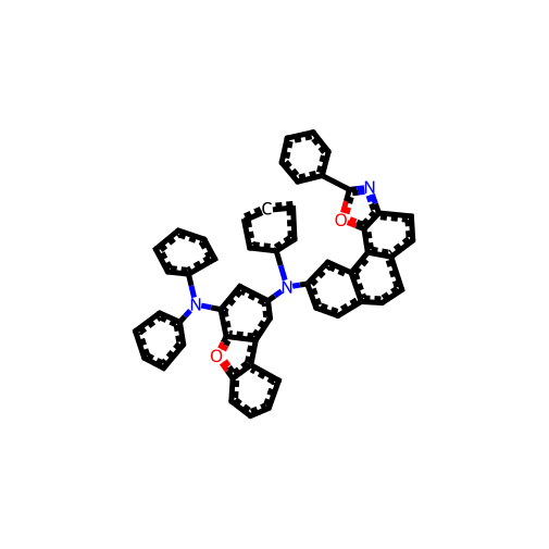 c1ccc(-c2nc3ccc4ccc5ccc(N(c6ccccc6)c6cc(N(c7ccccc7)c7ccccc7)c7oc8ccccc8c7c6)cc5c4c3o2)cc1